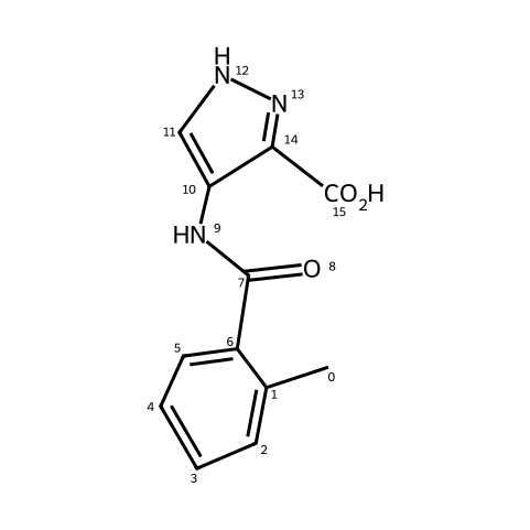 Cc1ccccc1C(=O)Nc1c[nH]nc1C(=O)O